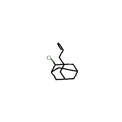 C=CCC12CC3CC(CC(C3)C1Cl)C2